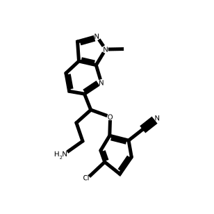 Cn1ncc2ccc(C(CCN)Oc3cc(Cl)ccc3C#N)nc21